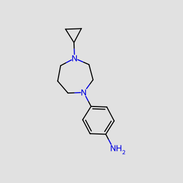 Nc1ccc(N2CCCN(C3CC3)CC2)cc1